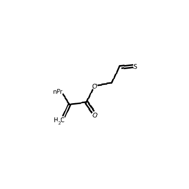 C=C(CCC)C(=O)OCC=S